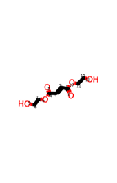 O=C(C=CC(=O)OCCO)OCCO